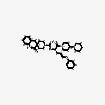 O=C(N[C@H](C/C=C/Sc1ccccc1)C(=O)N1CCC(N2CCCCC2)CC1)N1CCC2(CC1)Cc1ccccc1NC2=O